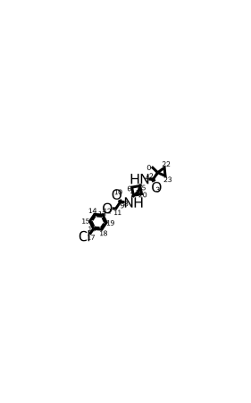 CC1(C(=O)NC23CC(NC(=O)COc4ccc(Cl)cc4)(C2)C3)CC1